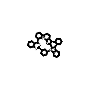 c1ccc(-c2nc(-c3cccc(-n4c5ccccc5c5c6ccccc6c6c7cccnc7sc6c54)c3)nc3ccccc23)cc1